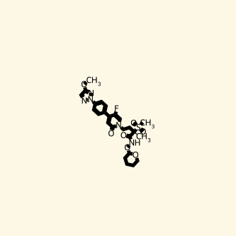 COc1cnn(-c2ccc(-c3cc(=O)n(CC[C@](C)(C(=O)NOC4CCCCO4)S(C)(=O)=O)cc3F)cc2)n1